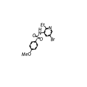 CCc1ncc(Br)cc1NS(=O)(=O)c1ccc(OC)cc1